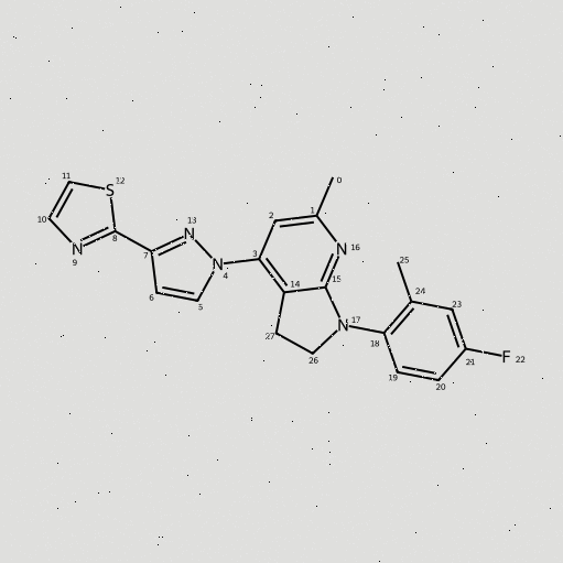 Cc1cc(-n2ccc(-c3nccs3)n2)c2c(n1)N(c1ccc(F)cc1C)CC2